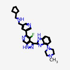 CN1CCN(c2cccc3[nH]c(-c4n[nH]c5cnc(-c6cncc(CNCC7CCCC7)c6)c(F)c45)nc23)CC1